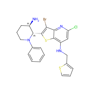 N[C@@H]1CCCN(c2ccccc2)[C@H]1c1sc2c(NCc3cccs3)cc(Cl)nc2c1Br